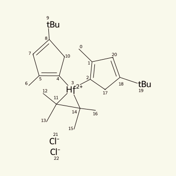 CC1=[C]([Hf+2]2([C]3=C(C)C=C(C(C)(C)C)C3)[C](C)(C)[C]2(C)C)CC(C(C)(C)C)=C1.[Cl-].[Cl-]